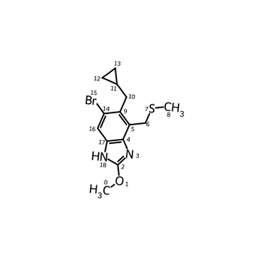 COc1nc2c(CSC)c(CC3CC3)c(Br)cc2[nH]1